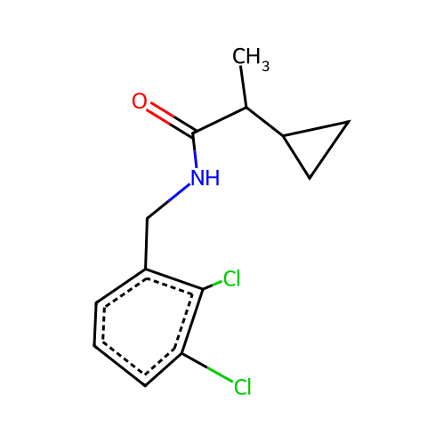 CC(C(=O)NCc1cccc(Cl)c1Cl)C1CC1